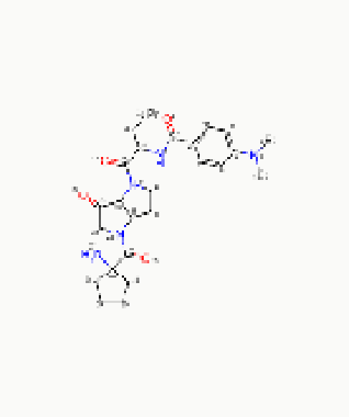 CCN(CC)c1ccc(C(=O)NC(CC(C)C)C(=O)N2CCC3C2C(=O)CN3C(=O)C2(N)CCCC2)cc1